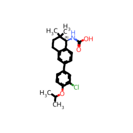 CC(C)Oc1ccc(-c2ccc3c(c2)CCC(C)(C)[C@H]3NC(=O)O)cc1Cl